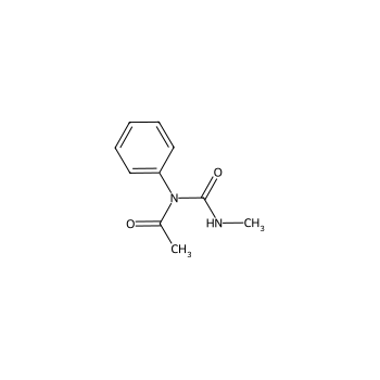 CNC(=O)N(C(C)=O)c1ccccc1